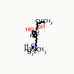 CCCC[C@H](C)C[C@H](O)/C=C/[C@@H]1[C@H]2CC(CCCCCN(C(C)C)C(C)C)=C[C@H]2C[C@H]1O